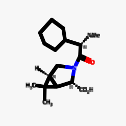 CN[C@H](C(=O)N1C[C@H]2C([C@H]1C(=O)O)C2(C)C)C1CCCCC1